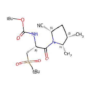 C[C@H]1C[C@@H](C#N)N(C(=O)[C@H](CS(=O)(=O)C(C)(C)C)NC(=O)OC(C)(C)C)[C@H]1C